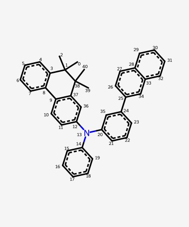 CC1(C)c2ccccc2-c2ccc(N(c3ccccc3)c3cccc(-c4ccc5ccccc5c4)c3)cc2C1(C)C